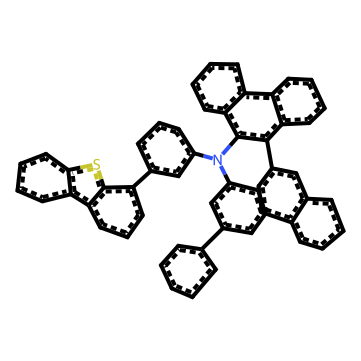 c1ccc(-c2cccc(N(c3cccc(-c4cccc5c4sc4ccccc45)c3)c3c(-c4ccc5ccccc5c4)c4ccccc4c4ccccc34)c2)cc1